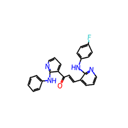 O=C(/C=C/c1cccnc1Nc1ccc(F)cc1)c1cccnc1Nc1ccccc1